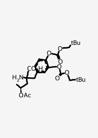 CC(=O)O[C@@H](C)CC(N)(Cc1ccc(OC(=O)OCC(C)(C)C)c(OC(=O)OCC(C)(C)C)c1)C(=O)O